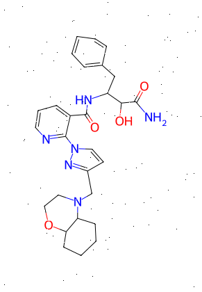 NC(=O)C(O)C(Cc1ccccc1)NC(=O)c1cccnc1-n1ccc(CN2CCOC3CCCCC32)n1